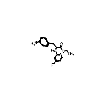 CCOC(=O)C(Cc1ccc(N)cc1)Nc1cc(Cl)ncn1